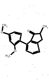 COc1ccc(-c2cccc3c2C(=O)C(C)C3)c(OC)c1